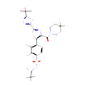 C[C@@H](NS(=O)(=O)c1ccc(-c2sc(-c3nnc(C(C)(C)O)[nH]3)nc2C(=O)N2CCC(F)(F)CC2)c(Cl)c1Cl)C(F)(F)F